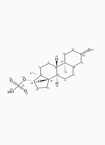 C[C@]12CC[C@H]3[C@@H](CCC4CC(=O)CC[C@@]43C)[C@@H]1CC[C@@H]2OS(=O)(=O)O